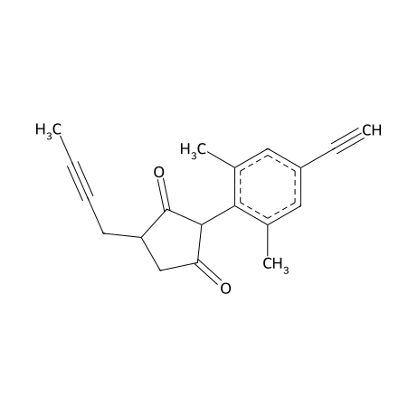 C#Cc1cc(C)c(C2C(=O)CC(CC#CC)C2=O)c(C)c1